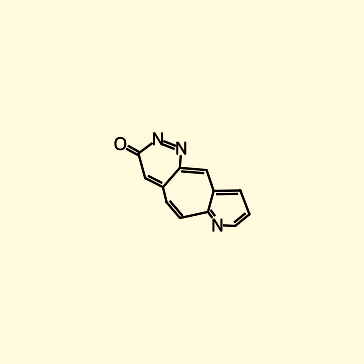 O=c1cc2ccc3ncccc3cc-2nn1